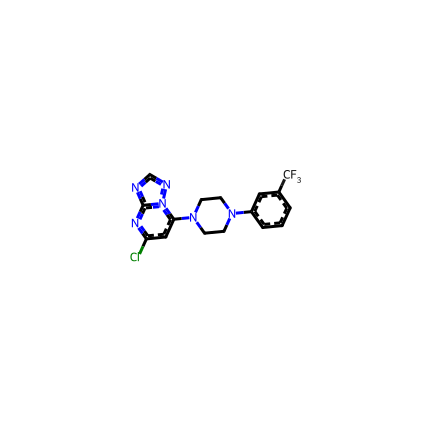 FC(F)(F)c1cccc(N2CCN(c3cc(Cl)nc4ncnn34)CC2)c1